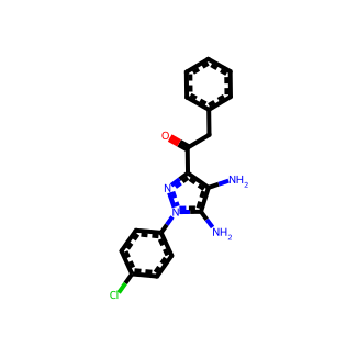 Nc1c(C(=O)Cc2ccccc2)nn(-c2ccc(Cl)cc2)c1N